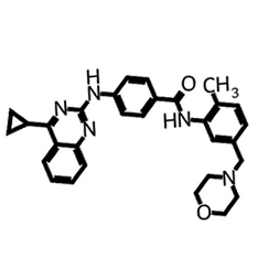 Cc1ccc(CN2CCOCC2)cc1NC(=O)c1ccc(Nc2nc(C3CC3)c3ccccc3n2)cc1